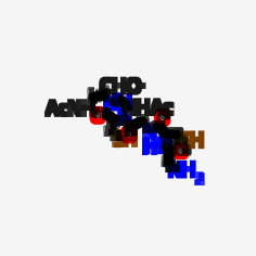 CC(=O)NC[C@@H]([C]=O)N(CNC(C)=O)C(=O)[C@@H](CS)NC(=O)CNC(=O)C(CS)NC(=O)CN